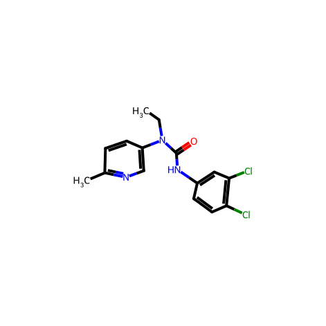 CCN(C(=O)Nc1ccc(Cl)c(Cl)c1)c1ccc(C)nc1